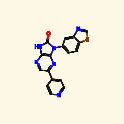 O=c1[nH]c2ncc(-c3ccncc3)nc2n1-c1ccc2scnc2c1